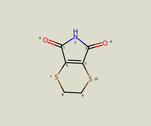 O=C1NC(=O)C2=C1SCCS2